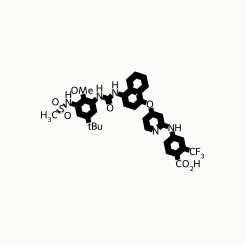 COc1c(NC(=O)Nc2ccc(Oc3ccnc(Nc4ccc(C(=O)O)c(C(F)(F)F)c4)c3)c3ccccc23)cc(C(C)(C)C)cc1NS(C)(=O)=O